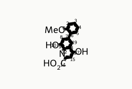 COc1ccccc1-c1cc(O)c2nc(C(=O)O)cc(O)c2c1